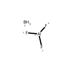 B.[F][Al]([F])[F]